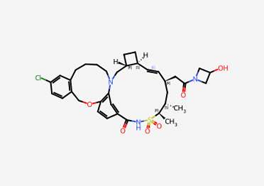 C[C@@H]1[C@@H](C)C[C@H](CC(=O)N2CC(O)C2)/C=C/[C@@H]2CC[C@H]2CN2CCCCc3cc(Cl)ccc3COc3ccc(cc32)C(=O)NS1(=O)=O